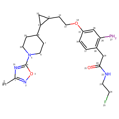 CC(C)c1noc(N2CCC(C3CC3CCOc3ccc(CC(=O)NCCF)c(P)c3)CC2)n1